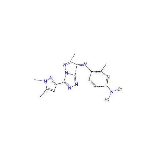 CCN(CC)c1ccc(/N=C2/C(C)=Nn3c2nnc3-c2cc(C)n(C)n2)c(C)n1